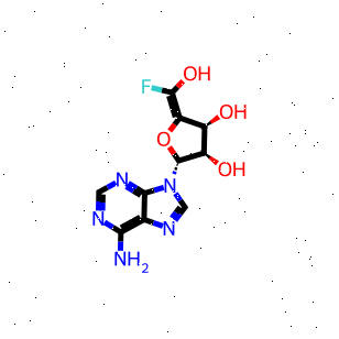 Nc1ncnc2c1ncn2[C@@H]1OC(=C(O)F)[C@@H](O)[C@H]1O